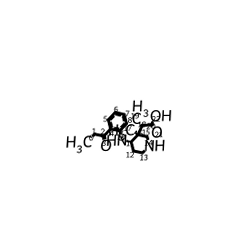 CCC(=O)c1ccccc1N[C@@H]1CCNC[C@@]1(C)C(C)C(=O)O